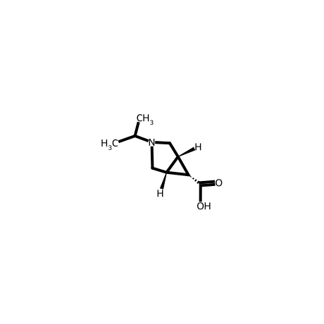 CC(C)N1C[C@@H]2[C@H](C1)[C@@H]2C(=O)O